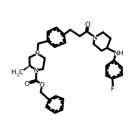 C[C@H]1CN(Cc2ccc(CCC(=O)N3CCC(Nc4ccc(F)cc4)CC3)cc2)CCN1C(=O)OCc1ccccc1